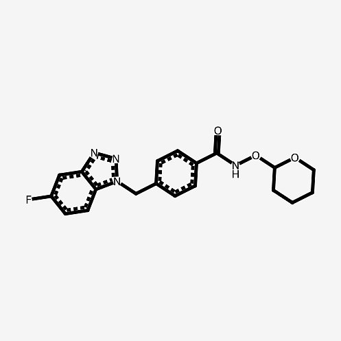 O=C(NOC1CCCCO1)c1ccc(Cn2nnc3cc(F)ccc32)cc1